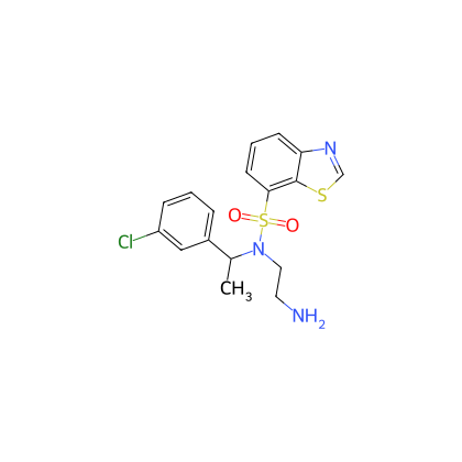 CC(c1cccc(Cl)c1)N(CCN)S(=O)(=O)c1cccc2ncsc12